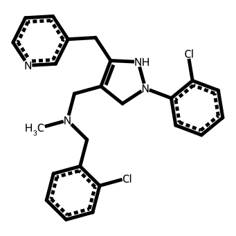 CN(CC1=C(Cc2cccnc2)NN(c2ccccc2Cl)C1)Cc1ccccc1Cl